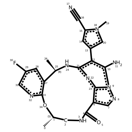 C[C@H]1CNC(=O)c2cnn3c(N)c(-c4cc(C#N)n(C)c4)c(nc23)N[C@H](C)c2cc(F)cnc2O1